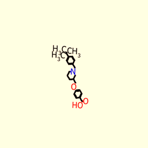 CC(C)(C)c1ccc(CN2CCCC(COc3ccc(C(=O)O)cc3)C2)cc1